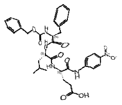 CC(C)C[C@H](NC(=O)[C@H](Cc1ccccc1)NC(=O)OCc1ccccc1)C(=O)N[C@@H](CCC(=O)O)C(=O)Nc1ccc([N+](=O)[O-])cc1